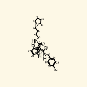 O=C(NCCCCN1CCCC1)[C@H]1[C@H](C(=O)NCc2ccc(I)cc2)[C@@H]2C=C[C@H]1C21CC1